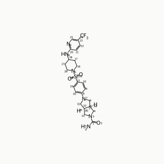 NC(=O)N1C[C@@H]2CN(c3ccc(S(=O)(=O)N4CCC(Nc5ccc(C(F)(F)F)cn5)CC4)cc3)C[C@@H]2C1